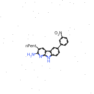 CCCCCc1cc2c(nc1N)[nH]c1ccc(-c3cccc([N+](=O)[O-])c3)cc12